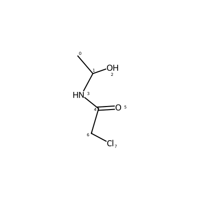 CC(O)NC(=O)CCl